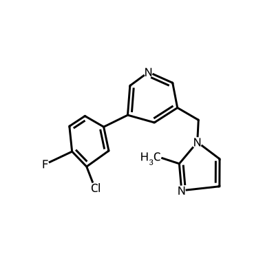 Cc1nccn1Cc1cncc(-c2ccc(F)c(Cl)c2)c1